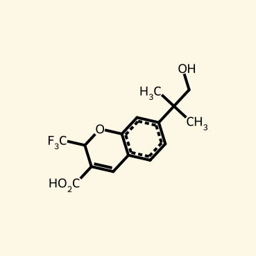 CC(C)(CO)c1ccc2c(c1)OC(C(F)(F)F)C(C(=O)O)=C2